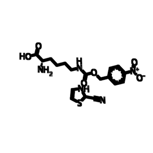 N#CC1NC=CS1.N[C@@H](CCCCNC(=O)OCc1ccc([N+](=O)[O-])cc1)C(=O)O